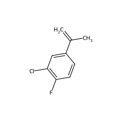 C=C(C)c1ccc(F)c(Cl)c1